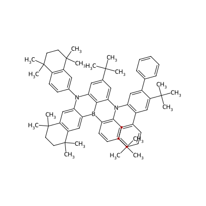 CC(C)(C)c1ccc2c(c1)N(c1cc(-c3ccccc3)c(C(C)(C)C)cc1-c1ccccc1)c1cc(C(C)(C)C)cc3c1B2c1cc2c(cc1N3c1ccc3c(c1)C(C)(C)CCC3(C)C)C(C)(C)CCC2(C)C